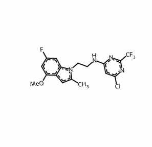 COc1cc(F)cc2c1cc(C)n2CCNc1cc(Cl)nc(C(F)(F)F)n1